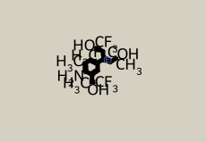 Cc1cc(/C(=C/C(C)(O)C(F)(F)F)CC(C)(O)C(F)(F)F)cc(C(C)(O)C(F)(F)F)c1N